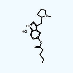 CCCCC(=O)Oc1ccc2[nH]cc(CC3CCCN3C)c2c1.Cl